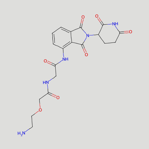 NCCOCC(=O)NCC(=O)Nc1cccc2c1C(=O)N(C1CCC(=O)NC1=O)C2=O